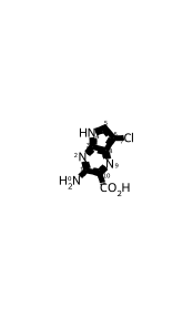 Nc1nc2[nH]cc(Cl)c2nc1C(=O)O